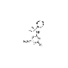 Nc1nc(Cl)nc(NC2(c3ccccc3)COC2)n1